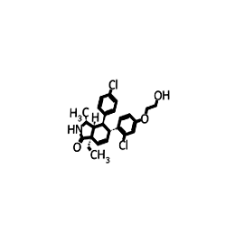 CC[C@@]12C=C[C@@H](c3ccc(OCCO)cc3Cl)[C@H](c3ccc(Cl)cc3)[C@@H]1[C@@H](C)NC2=O